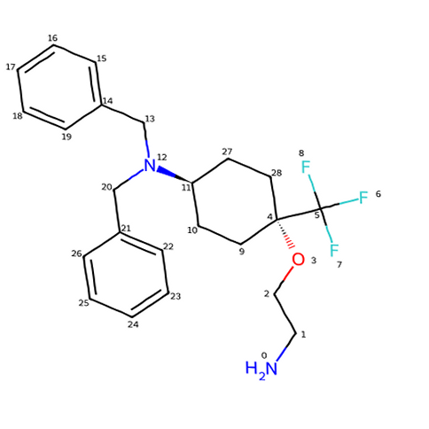 NCCO[C@]1(C(F)(F)F)CC[C@@H](N(Cc2ccccc2)Cc2ccccc2)CC1